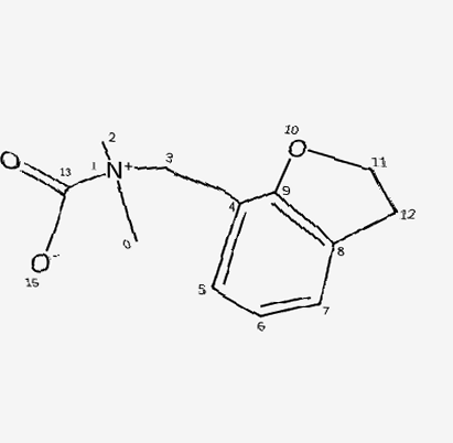 C[N+](C)(Cc1cccc2c1OCC2)C(=O)[O-]